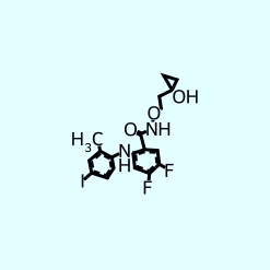 Cc1cc(I)ccc1Nc1cc(F)c(F)cc1C(=O)NOCCC1(O)CC1